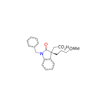 COCCC[C@]1(CC(=O)O)C(=O)N(Cc2ccccc2)c2ccccc21